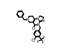 O=C1C2=C(CCN(Cc3ccccc3)C2)N2CCN=C2N1Cc1ccc(Cl)c(C(F)(F)F)c1